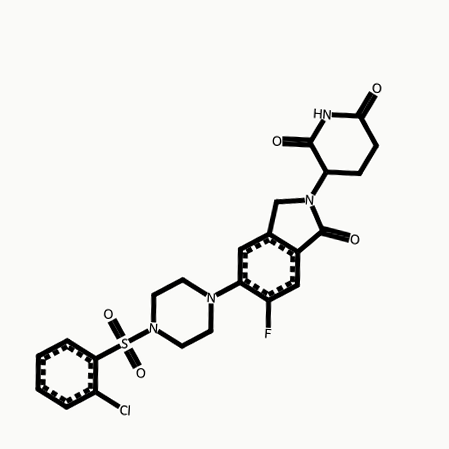 O=C1CCC(N2Cc3cc(N4CCN(S(=O)(=O)c5ccccc5Cl)CC4)c(F)cc3C2=O)C(=O)N1